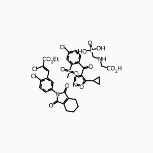 CCOC(=O)/C(Cl)=C/c1cc(N2C(=O)C3=C(CCCC3)C2=O)ccc1Cl.CS(=O)(=O)c1cc(Cl)ccc1C(=O)c1cnoc1C1CC1.O=C(O)CNCP(=O)(O)O